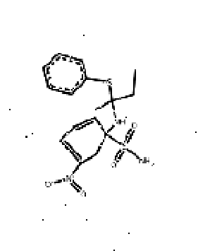 CCC(C)(NC1(S(N)(=O)=O)C=CC=C([N+](=O)[O-])C1)Sc1ccccc1